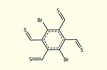 S=Cc1c(Br)c(C=S)c(C=S)c(Br)c1C=S